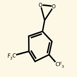 FC(F)(F)c1cc(C2OO2)cc(C(F)(F)F)c1